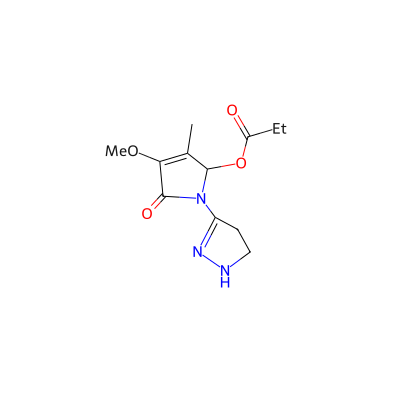 CCC(=O)OC1C(C)=C(OC)C(=O)N1C1=NNCC1